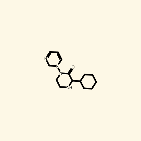 O=C1C(C2CCCCC2)NCCN1N1C=CC=NC1